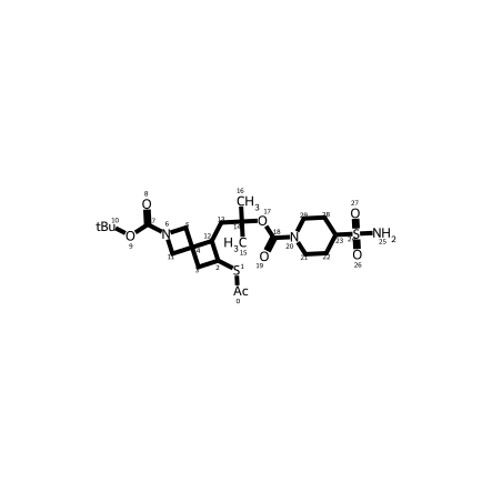 CC(=O)SC1CC2(CN(C(=O)OC(C)(C)C)C2)C1CC(C)(C)OC(=O)N1CCC(S(N)(=O)=O)CC1